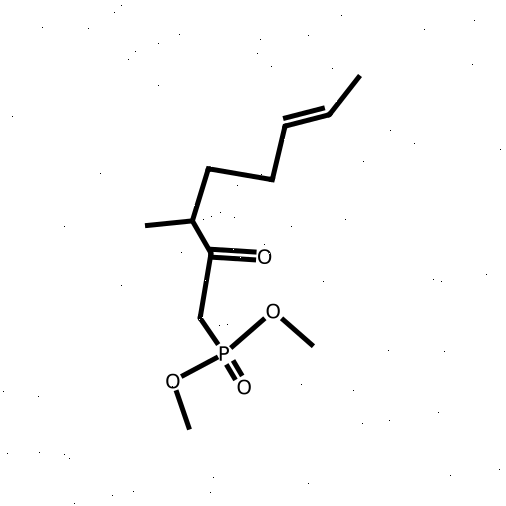 CC=CCCC(C)C(=O)CP(=O)(OC)OC